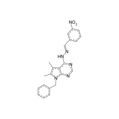 Cc1c(C)n(Cc2ccccc2)c2ncnc(NN=Cc3cccc([N+](=O)[O-])c3)c12